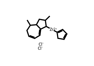 CC1CC=CC=C2C1CC(C)[CH]2[Zr+2][C]1=CC=CC1.[Cl-].[Cl-]